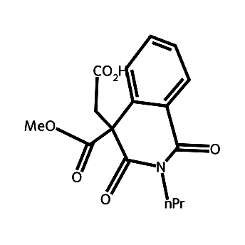 CCCN1C(=O)c2ccccc2C(CC(=O)O)(C(=O)OC)C1=O